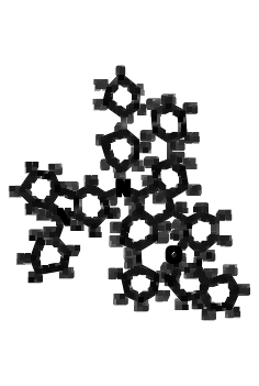 c1ccc(-c2ccc(N(c3ccc4c(c3)c3ccccc3n4-c3ccccc3)c3c4ccc(-c5ccccc5)cc4c(-c4cccc5c4oc4ccc6ccccc6c45)c4ccc(-c5ccccc5)cc34)cc2)cc1